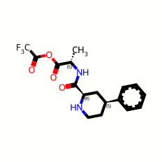 C[C@H](NC(=O)[C@H]1C[C@@H](c2ccccc2)CCN1)C(=O)OC(=O)C(F)(F)F